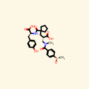 CN(C[C@H](CC1(C(=O)N[C@@H](Cc2ccc(O)cc2)C(=O)O)CCCC1)C(=O)O)C(=O)c1ccc([S+](C)[O-])cc1